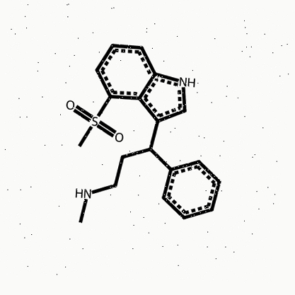 CNCCC(c1ccccc1)c1c[nH]c2cccc(S(C)(=O)=O)c12